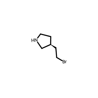 BrCC[C@@H]1CCNC1